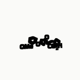 COc1ccccc1OC1=CC(=O)N(C(CC2CCCO2)C(=O)O)C1